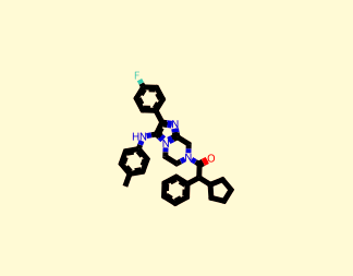 Cc1ccc(Nc2c(-c3ccc(F)cc3)nc3n2CCN(C(=O)C(c2ccccc2)C2CCCC2)C3)cc1